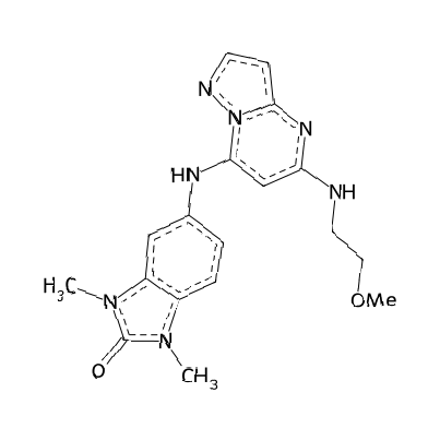 COCCNc1cc(Nc2ccc3c(c2)n(C)c(=O)n3C)n2nccc2n1